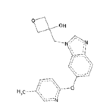 Cc1ccc(Oc2ccc3ncn(CC4(O)COC4)c3c2)nc1